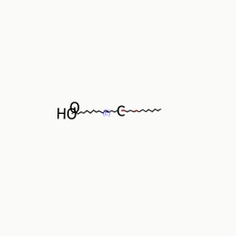 CCCCCCCCCCCCCCCCC/C=C/CCCCCCCCCC(=O)O